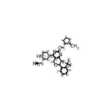 CN1CCC[C@H]1COc1nc2c(c(N3CCN[C@@H](CC#N)C3)n1)COC(c1ccccc1C(F)(F)F)C2